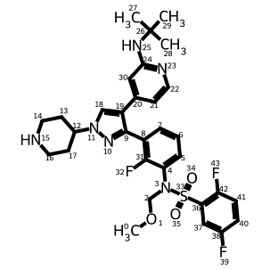 COCN(c1cccc(-c2nn(C3CCNCC3)cc2-c2ccnc(NC(C)(C)C)c2)c1F)S(=O)(=O)c1cc(F)ccc1F